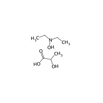 CC(O)C(=O)O.CCN(O)CC